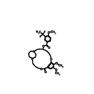 COc1ccc(C(=O)OC2CCCOc3cc(cc(OC)c3OC)C(=O)OCCCN3CCCN(CC2)CC3)cc1C(C)(F)F